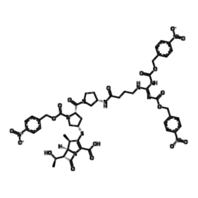 C[C@@H](O)[C@H]1C(=O)N2C(C(=O)O)=C(S[C@H]3C[C@@H](C(=O)N4CC[C@H](NC(=O)CCCNC(=NC(=O)OCc5ccc([N+](=O)[O-])cc5)NC(=O)OCc5ccc([N+](=O)[O-])cc5)C4)N(C(=O)OCc4ccc([N+](=O)[O-])cc4)C3)[C@H](C)[C@H]12